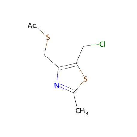 CC(=O)SCc1nc(C)sc1CCl